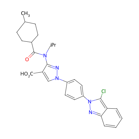 CC1CCC(C(=O)N(c2nn(-c3ccc(-n4nc5ccccc5c4Cl)cc3)cc2C(=O)O)C(C)C)CC1